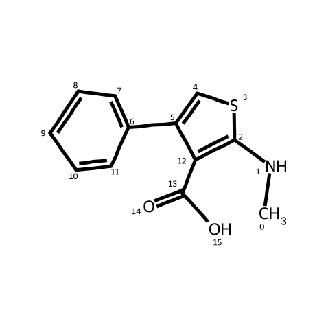 CNc1scc(-c2ccccc2)c1C(=O)O